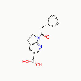 O=C(Cc1ccccc1)N1CCc2cc(B(O)O)cnc21